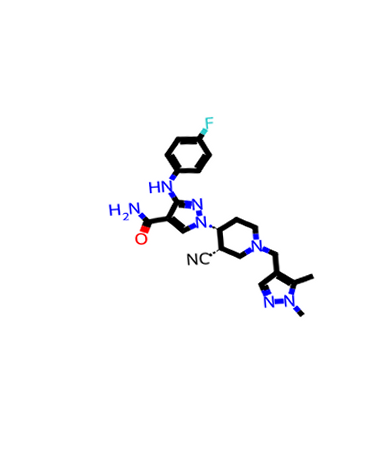 Cc1c(CN2CC[C@@H](n3cc(C(N)=O)c(Nc4ccc(F)cc4)n3)[C@@H](C#N)C2)cnn1C